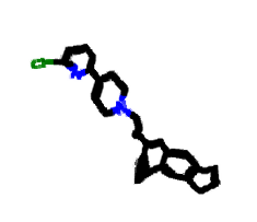 Clc1cccc(C2=CCN(CCc3ccc4cc5c(cc4c3)CCC5)CC2)n1